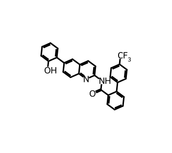 O=C(Nc1ccc2cc(-c3ccccc3O)ccc2n1)c1ccccc1-c1ccc(C(F)(F)F)cc1